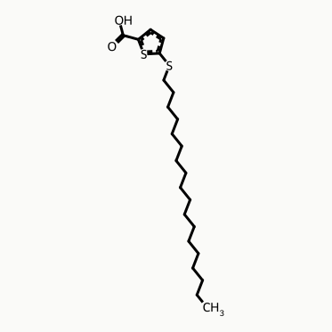 CCCCCCCCCCCCCCCCCCSc1ccc(C(=O)O)s1